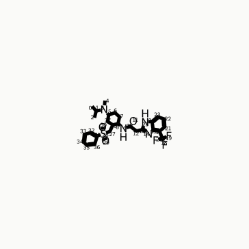 CC(C)N(C)C1CCC(NC(=O)Cc2nc3c(C(F)(F)F)cccc3[nH]2)C(CS(=O)(=O)c2ccccc2)C1